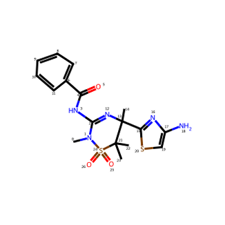 CN1C(NC(=O)c2ccccc2)=NC(C)(c2nc(N)cs2)C(C)(C)S1(=O)=O